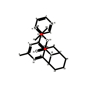 Cc1nc(-c2cnccn2)c2c(n1)C1CCCC(C2)N1C(=O)OC(C)(C)C